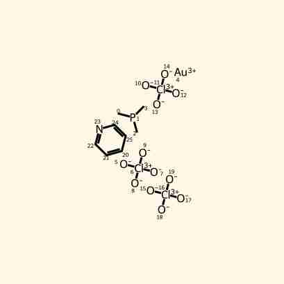 CP(C)C.[Au+3].[O-][Cl+3]([O-])([O-])[O-].[O-][Cl+3]([O-])([O-])[O-].[O-][Cl+3]([O-])([O-])[O-].c1ccncc1